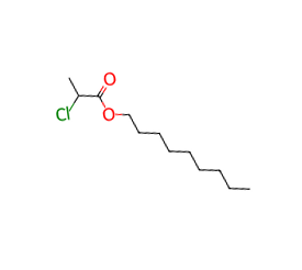 CCCCCCCCCOC(=O)C(C)Cl